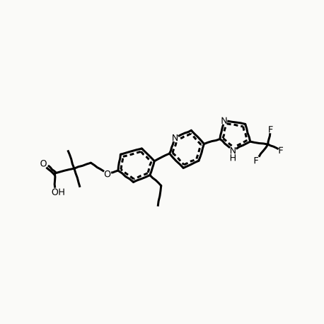 CCc1cc(OCC(C)(C)C(=O)O)ccc1-c1ccc(-c2ncc(C(F)(F)F)[nH]2)cn1